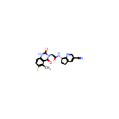 Cc1c(F)ccc2[nH]c(=O)n(CC(=O)N[C@H]3CCc4cc(C#N)cnc43)c(=O)c12